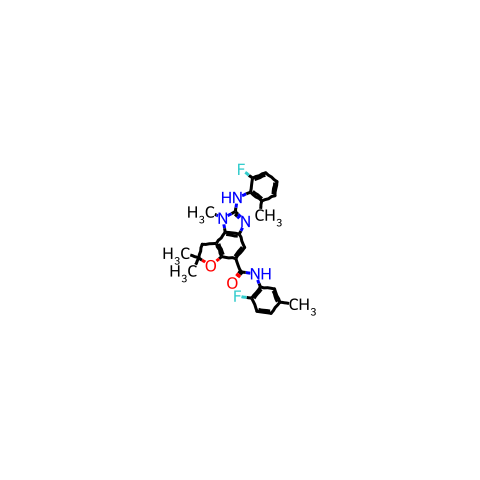 Cc1ccc(F)c(NC(=O)c2cc3nc(Nc4c(C)cccc4F)n(C)c3c3c2OC(C)(C)C3)c1